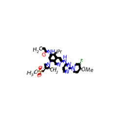 C=CC(=O)Nc1cc(N2C[C@H](CS(C)(=O)=O)[C@H]2C)c2cnc(Nc3ccnc(N4CC[C@@H](OC)[C@@H](F)C4)n3)cc2c1C(C)C